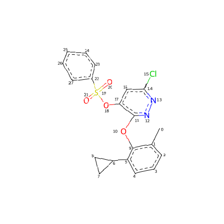 Cc1cccc(C2CC2)c1Oc1nnc(Cl)cc1OS(=O)(=O)c1ccccc1